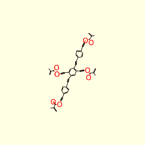 C=C(C)C(=O)OC#Cc1ccc(C#Cc2cc(C#COC(=O)C(=C)C)c(C#Cc3ccc(C#COC(=O)C(=C)C)cc3)cc2C#COC(=O)C(=C)C)cc1